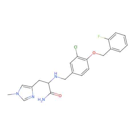 Cn1cnc(CC(NCc2ccc(OCc3ccccc3F)c(Cl)c2)C(N)=O)c1